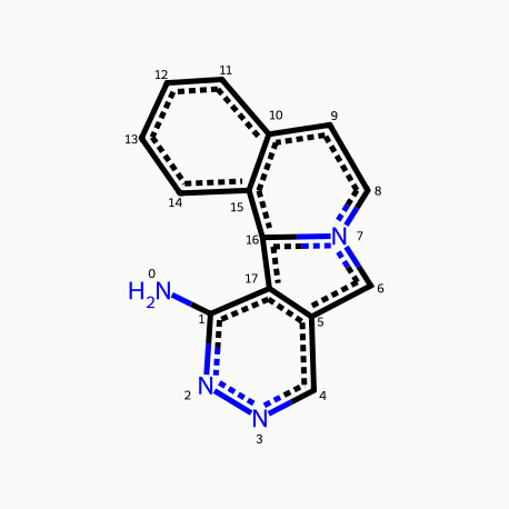 Nc1nncc2cn3ccc4ccccc4c3c12